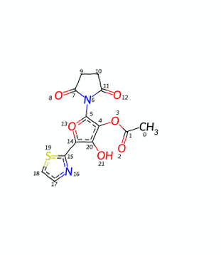 CC(=O)Oc1c(N2C(=O)CCC2=O)oc(-c2nccs2)c1O